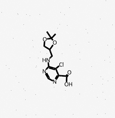 CC1(C)OCC(CNc2ncnc(C(=O)O)c2Cl)O1